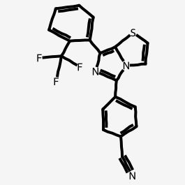 N#Cc1ccc(-c2nc(-c3ccccc3C(F)(F)F)c3sccn23)cc1